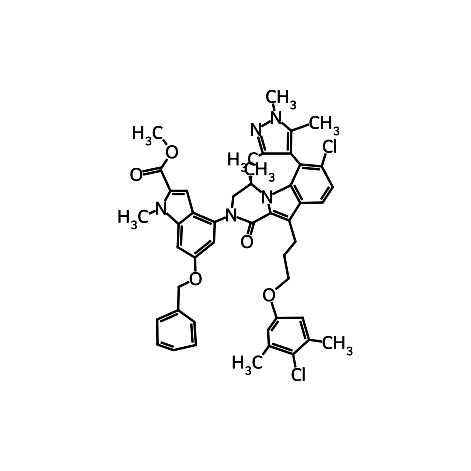 COC(=O)c1cc2c(N3C[C@@H](C)n4c(c(CCCOc5cc(C)c(Cl)c(C)c5)c5ccc(Cl)c(-c6c(C)nn(C)c6C)c54)C3=O)cc(OCc3ccccc3)cc2n1C